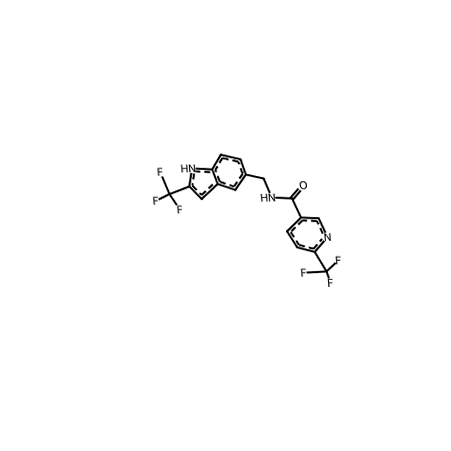 O=C(NCc1ccc2[nH]c(C(F)(F)F)cc2c1)c1ccc(C(F)(F)F)nc1